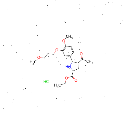 CCOC(=O)C1CC(C(C)=O)C(c2ccc(OC)c(OCCCOC)c2)N1.Cl